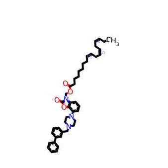 CC/C=C\C/C=C\C/C=C\CCCCCCCC(=O)OCn1c(=O)oc2c(N3CCN(Cc4cccc(-c5ccccc5)c4)CC3)cccc21